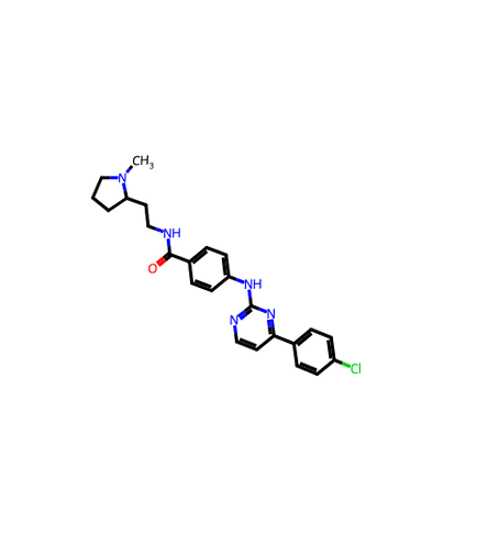 CN1CCCC1CCNC(=O)c1ccc(Nc2nccc(-c3ccc(Cl)cc3)n2)cc1